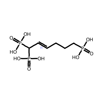 O=P(O)(O)CCC/C=C/C(P(=O)(O)O)P(=O)(O)O